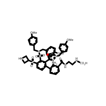 COc1ccc(CN(Cc2ccc(OC)cc2)S(=O)(=O)c2c(S(=O)(=O)C3CNC3)ccc(-c3cccc(C(=O)NCCNC(=O)O)c3N)c2-c2nnn(Cc3ccc(OC)cc3)n2)cc1